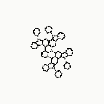 c1ccc(-n2c3ccccc3c3c4c5c(cc6c7ccccc7n(-c7ccccc7)c6c5cc32)B2c3c-4cccc3-c3c4c2cc2c5ccccc5n(-c5ccccc5)c2c4cc2c3c3ccccc3n2-c2ccccc2)cc1